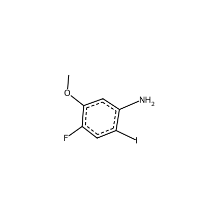 COc1cc(N)c(I)cc1F